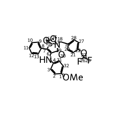 COc1ccc(NC2=C(c3ccccc3)S(=O)(=O)N(Cc3ccc(OC(F)F)cc3)C2=O)cc1